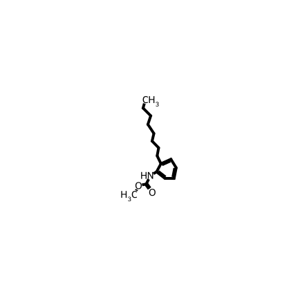 CCCCCCCCc1ccccc1NC(=O)OC